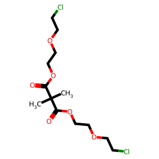 CC(C)(C(=O)OCCOCCCl)C(=O)OCCOCCCl